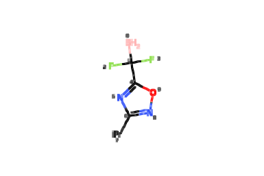 BC(F)(F)c1nc(C(C)C)no1